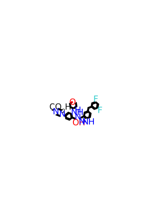 O=C(O)CN1CCN(c2ccc(C(O)Nc3n[nH]c4ccc(Cc5cc(F)cc(F)c5)cc34)c(NC3CCOCC3)c2)CC1